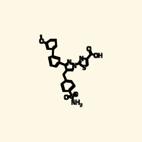 COc1cccc(-c2cccc(-c3nn(-c4nc(C(=O)O)cs4)cc3Cc3ccc(S(N)(=O)=O)cc3)c2)c1